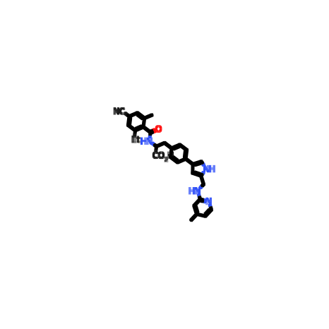 CCc1cc(C#N)cc(C)c1C(=O)NC(Cc1ccc(-c2c[nH]c(CNc3cc(C)ccn3)c2)cc1)C(=O)O